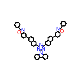 c1ccc(-c2nc3cc(-c4ccc5cc(-c6nc(-c7ccc8cc(-c9ccc%10oc(-c%11ccccc%11)nc%10c9)ccc8c7)nc(-n7c8ccccc8c8ccccc87)n6)ccc5c4)ccc3o2)cc1